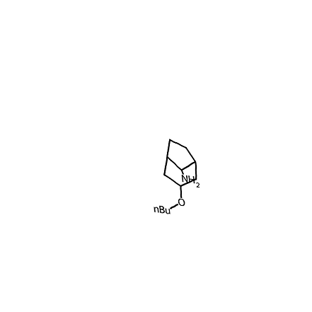 CCCCOC1CC2CCC(C1)C2N